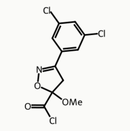 COC1(C(=O)Cl)CC(c2cc(Cl)cc(Cl)c2)=NO1